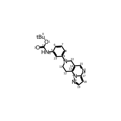 CC(C)(C)OC(=O)Nc1cccc(N2CCc3c(cnc4ccnn34)C2)c1